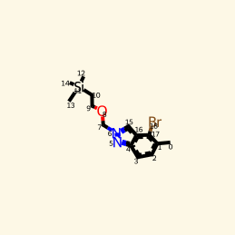 Cc1ccc2nn(COCC[Si](C)(C)C)cc2c1Br